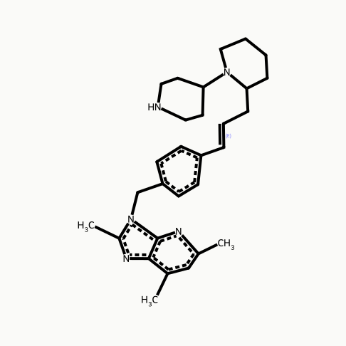 Cc1cc(C)c2nc(C)n(Cc3ccc(/C=C/CC4CCCCN4C4CCNCC4)cc3)c2n1